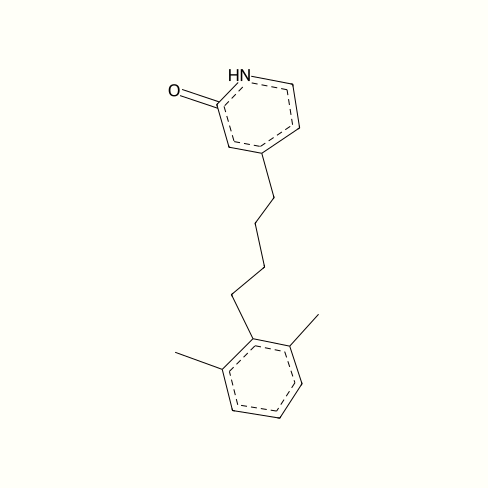 Cc1cccc(C)c1CCCCc1cc[nH]c(=O)c1